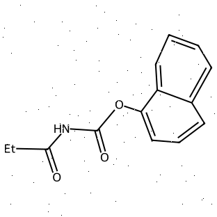 CCC(=O)NC(=O)Oc1cccc2ccccc12